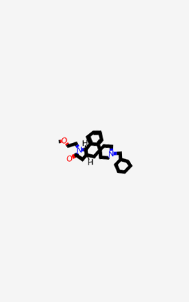 COCCN1C(=O)C[C@@H]2CC3(CCN(CC4CCCCC4)CC3)c3ccccc3[C@@H]21